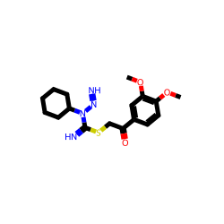 COc1ccc(C(=O)CSC(=N)N(N=N)C2CCCCC2)cc1OC